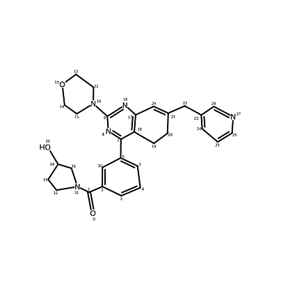 O=C(c1cccc(-c2nc(N3CCOCC3)nc3c2CCC(Cc2cccnc2)=C3)c1)N1CCC(O)C1